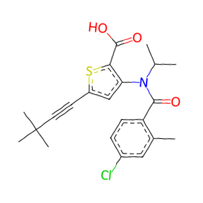 Cc1cc(Cl)ccc1C(=O)N(c1cc(C#CC(C)(C)C)sc1C(=O)O)C(C)C